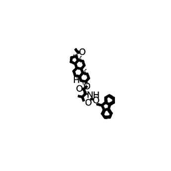 CC(=O)[C@H]1CCC2C3CC[C@@H]4C[C@@H](OC(=O)[C@@H](NC(=O)OCC5c6ccccc6-c6ccccc65)C(C)C)CC[C@]4(C)C3CC[C@@]21C